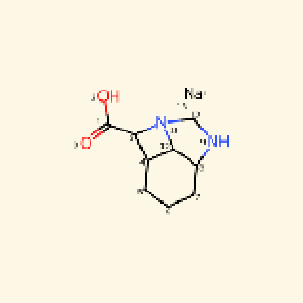 O=C(O)C1C2CCCC3NCN1C32.[Na]